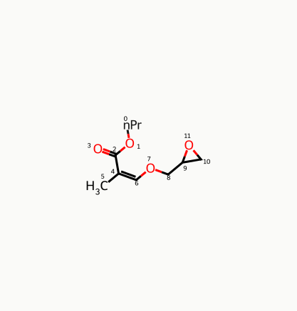 CCCOC(=O)C(C)=COCC1CO1